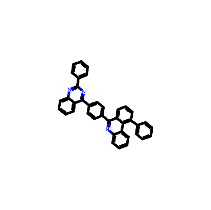 c1ccc(-c2nc(-c3ccc(-c4nc5ccccc5c5c(-c6ccccc6)cccc45)cc3)c3ccccc3n2)cc1